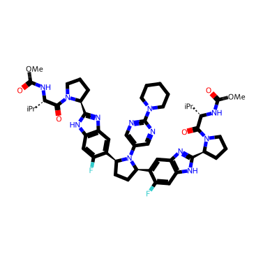 COC(=O)N[C@H](C(=O)N1CCC[C@H]1c1nc2cc([C@H]3CC[C@@H](c4cc5nc([C@@H]6CCCN6C(=O)[C@@H](NC(=O)OC)C(C)C)[nH]c5cc4F)N3c3cnc(N4CCCCC4)nc3)c(F)cc2[nH]1)C(C)C